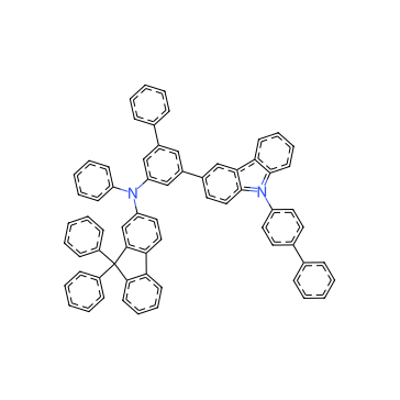 c1ccc(-c2ccc(-n3c4ccccc4c4cc(-c5cc(-c6ccccc6)cc(N(c6ccccc6)c6ccc7c(c6)C(c6ccccc6)(c6ccccc6)c6ccccc6-7)c5)ccc43)cc2)cc1